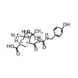 CC(C)(C)N([C@@H](CCC(=O)O)C(=O)NC(=O)NCc1ccc(O)cc1)C(C)(C)C